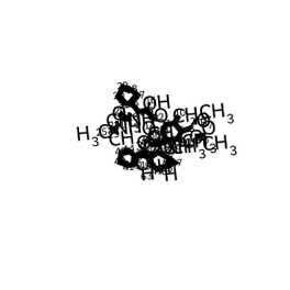 COC[C@H](OC(C)=O)C1C(C)[C@@H](OC(=O)[C@H](O)[C@@H](NC(=O)NC(C)(C)C)c2ccccc2)C[C@@](O)([C@@H](OOCc2ccccc2)[C@H]2[C@H]3C[C@H]3C[C@H]3OC[C@@]23OC(C)=O)C1(C)C